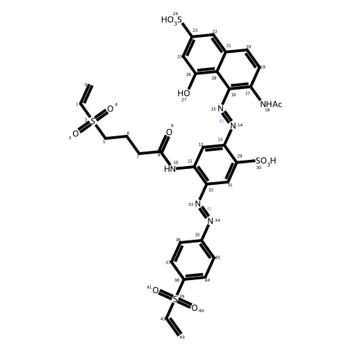 C=CS(=O)(=O)CCCC(=O)Nc1cc(/N=N/c2c(NC(C)=O)ccc3cc(S(=O)(=O)O)cc(O)c23)c(S(=O)(=O)O)cc1/N=N/c1ccc(S(=O)(=O)C=C)cc1